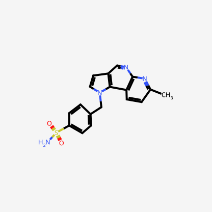 Cc1ccc2c(ncc3ccn(Cc4ccc(S(N)(=O)=O)cc4)c32)n1